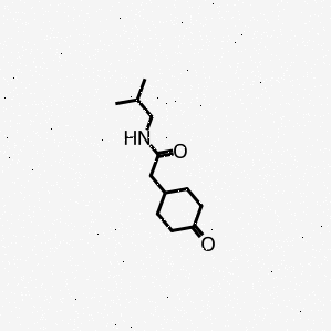 CC(C)CNC(=O)CC1CCC(=O)CC1